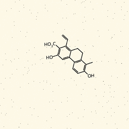 C=Cc1c2c(cc(O)c1C(=O)O)-c1ccc(O)c(C)c1CC2